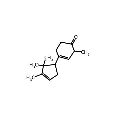 CC1=CCC(C2=CC(C)C(=O)CC2)C1(C)C